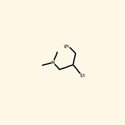 CCC(CC(C)C)CN(C)C